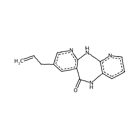 C=CCc1cnc2c(c1)C(=O)Nc1cccnc1N2